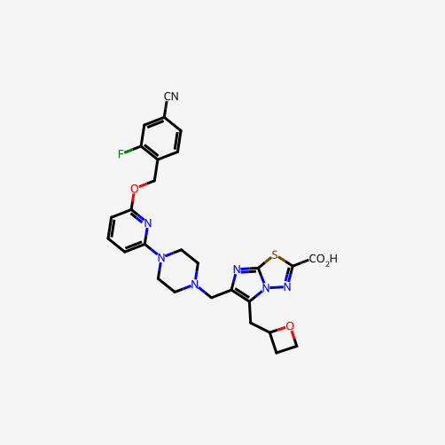 N#Cc1ccc(COc2cccc(N3CCN(Cc4nc5sc(C(=O)O)nn5c4CC4CCO4)CC3)n2)c(F)c1